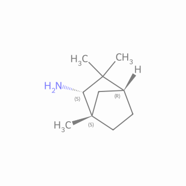 CC1(C)[C@@H]2CC[C@@](C)(C2)[C@@H]1N